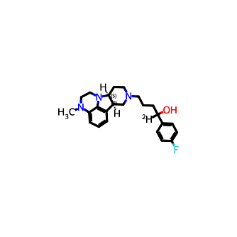 [2H]C(O)(CCCN1CC[C@H]2[C@@H](C1)c1cccc3c1N2CCN3C)c1ccc(F)cc1